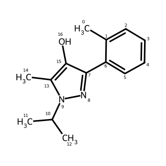 Cc1ccccc1-c1nn(C(C)C)c(C)c1O